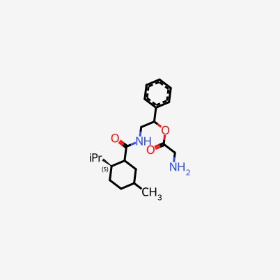 CC1CC[C@@H](C(C)C)C(C(=O)NCC(OC(=O)CN)c2ccccc2)C1